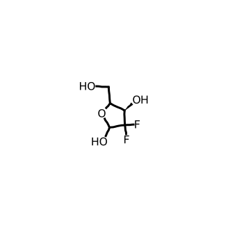 OCC1OC(O)C(F)(F)[C@@H]1O